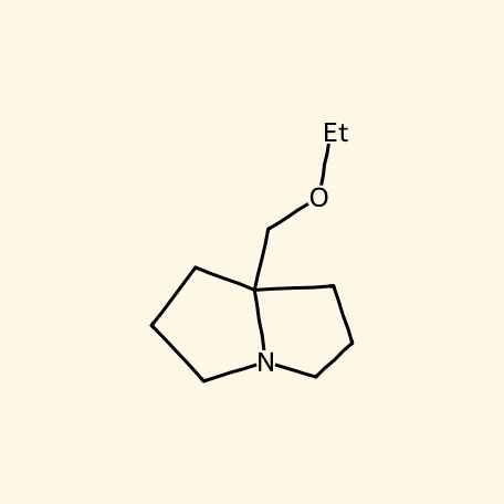 CCOCC12CCCN1CCC2